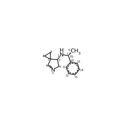 C[C@H](NC1CN=CC12CC2)c1ccccc1